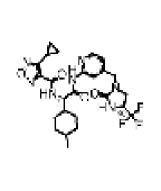 CC1CCC([C@H](NC(=O)c2nonc2C2CC2)C(=O)Nc2cc(CN3C[C@@H](C(F)(F)F)NC3=O)ccn2)CC1